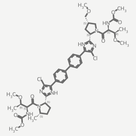 COC[C@H]1C[C@@H](c2nc(Cl)c(-c3ccc(-c4ccc(-c5[nH]c([C@@H]6CC[C@H](C)N6C(=O)[C@@H](NC(=O)OC)[C@@H](C)OC)nc5Cl)cc4)cc3)[nH]2)N(C(=O)[C@@H](NC(=O)OC)[C@@H](C)OC)C1